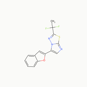 CC(F)(F)c1nn2c(-c3cc4ccccc4o3)cnc2s1